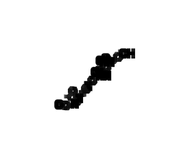 COc1ccc(CN2CCN(C3CC4(CCN(c5ccc(C(=O)NS(=O)(=O)c6ccc(NCC7CCC(C)(O)CC7)c([N+](=O)[O-])c6)cc5)CC4)C3)C(c3ccccc3C(C)C)C2)cc1